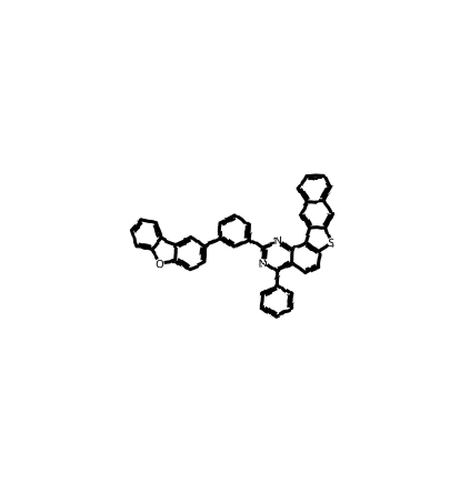 c1ccc(-c2nc(-c3cccc(-c4ccc5oc6ccccc6c5c4)c3)nc3c2ccc2sc4cc5ccccc5cc4c23)cc1